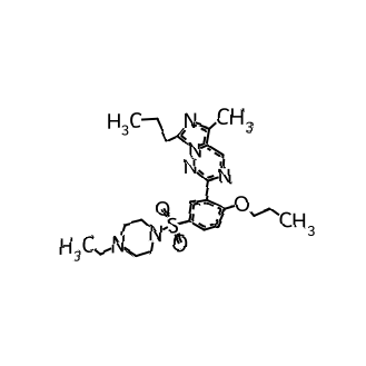 CCCOc1ccc(S(=O)(=O)N2CCN(CC)CC2)cc1-c1ncc2c(C)nc(CCC)n2n1